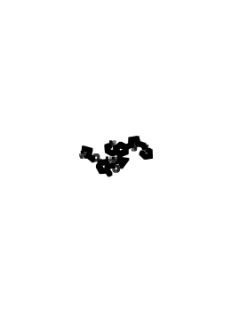 Cc1ccc(OCC2CCN2C)cc1C(=O)NC1(c2cc(-c3ccc(CN4CCCC4)s3)cc3ncccc23)CC1